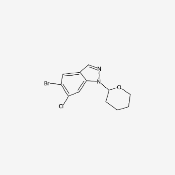 Clc1cc2c(cnn2C2CCCCO2)cc1Br